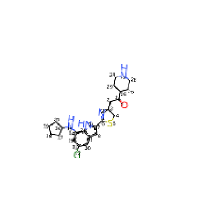 O=C(CC1CSC(c2cc3cc(Cl)cc(NC4CCCC4)c3[nH]2)=N1)C1CCNCC1